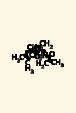 C=C(C)C(=O)NCN1C(=C)CC(C(C)(C)CC(C)CC)C1=O